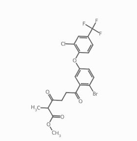 COC(=O)C(C)C(=O)CCC(=O)c1cc(Oc2ccc(C(F)(F)F)cc2Cl)ccc1Br